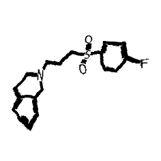 O=S(=O)(CCCN1CCc2ccccc2C1)c1ccc(F)cc1